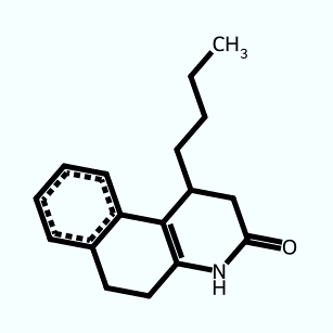 CCCCC1CC(=O)NC2=C1c1ccccc1CC2